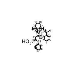 CC(N)c1ccccc1.O=C(O)C(CC(=O)N1C[C@H]2CCCC[C@H]2C1)Cc1ccccc1